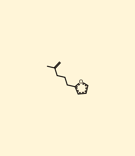 C=C(C)CCCc1ccco1